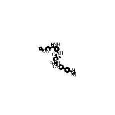 [2H]C([2H])(C(=O)N1CC=C(c2ccc(-c3ncn(C)n3)cc2)CC1)N1CC[C@@](SC)(C(=O)Nc2ccc3[nH]nc(-c4ccc(OC5CCC5)nc4)c3c2)C1